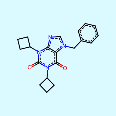 O=c1c2c(ncn2Cc2ccccc2)n(C2CCC2)c(=O)n1C1CCC1